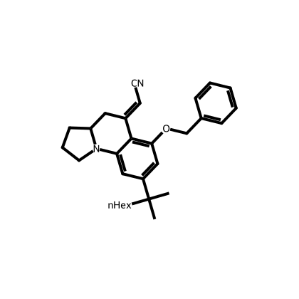 CCCCCCC(C)(C)c1cc(OCc2ccccc2)c2c(c1)N1CCCC1CC2=CC#N